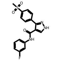 CS(=O)(=O)c1ccc(-c2n[nH]cc2C(=O)Nc2cccc(F)c2)cc1